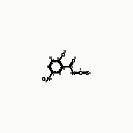 O=C(N=C=S)c1cc([N+](=O)[O-])cnc1Cl